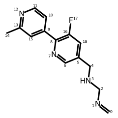 C=NCNCc1cnc(-c2ccnc(C)c2)c(F)c1